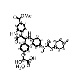 COC(=O)c1ccc2c(c1)NC(=O)C2=C(Nc1ccc(N(C)C(=O)CN2CCN(C)CC2)cc1)c1ccccc1.O.O=C(O)C(=O)O